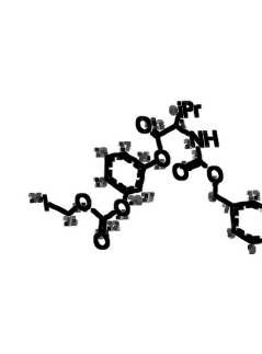 CC(C)C(NC(=O)OCc1ccccc1)C(=O)Oc1cccc(OC(=O)OCI)c1